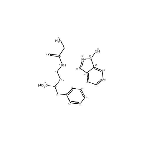 NCC(=O)NCOC(Cc1ccccc1)C(=O)O.On1nnc2ccccc21